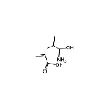 C=CC(=O)O.CC(C)C(N)O